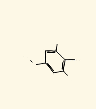 CC(C)(C)c1c(Cl)cc(OC(F)(F)F)cc1Cl